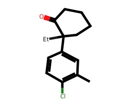 CCC1(c2ccc(Cl)c(C)c2)CCCCC1=O